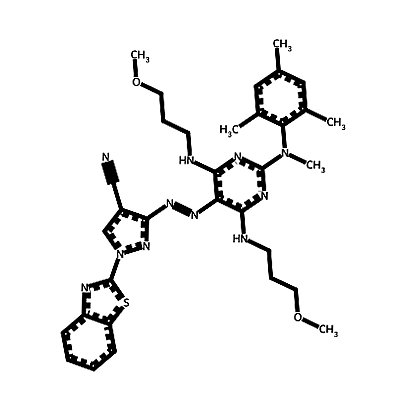 COCCCNc1nc(N(C)c2c(C)cc(C)cc2C)nc(NCCCOC)c1N=Nc1nn(-c2nc3ccccc3s2)cc1C#N